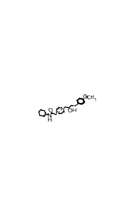 COc1ccc(CCC(O)CN2CCN(CC(=O)NC3CCCCC3)CC2)cc1